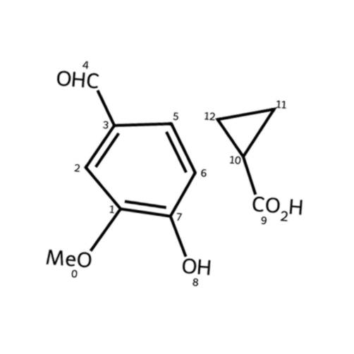 COc1cc(C=O)ccc1O.O=C(O)C1CC1